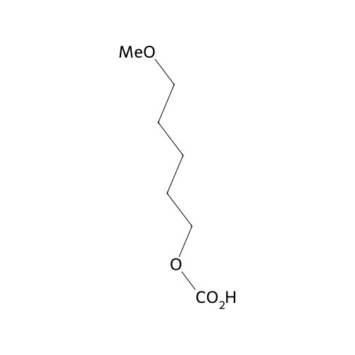 COCCCCCOC(=O)O